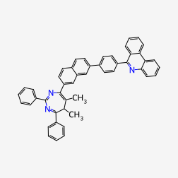 CC1=C(c2ccc3ccc(-c4ccc(-c5nc6ccccc6c6ccccc56)cc4)cc3c2)N=C(c2ccccc2)N=C(c2ccccc2)C1C